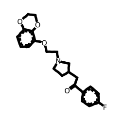 O=C(CC1CCN(CCOc2cccc3c2OCCO3)C1)c1ccc(F)cc1